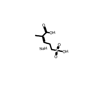 CC(=CCCS(=O)(=O)O)C(=O)O.[NaH]